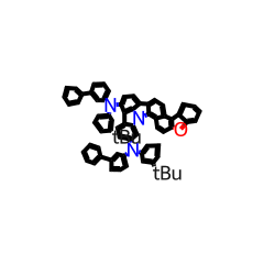 CC(C)(C)c1cccc(N(c2cccc(-c3ccccc3)c2)c2ccc3c4c(N(c5cccc(-c6ccccc6)c5)c5cccc(C(C)(C)C)c5)ccc5c6ccc7c(ccc8oc9ccccc9c87)c6n(c3c2)c54)c1